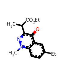 CCOC(=O)C(C)c1nn(C)c2ccc(CC)cc2c1=O